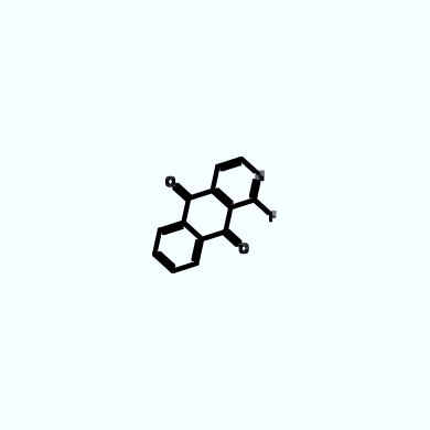 O=C1c2ccccc2C(=O)c2c1ccnc2F